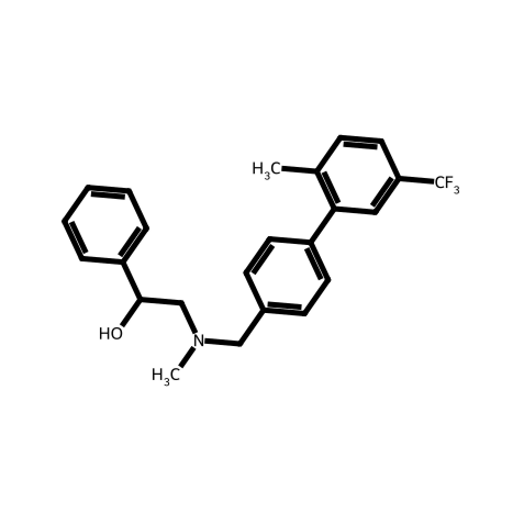 Cc1ccc(C(F)(F)F)cc1-c1ccc(CN(C)CC(O)c2ccccc2)cc1